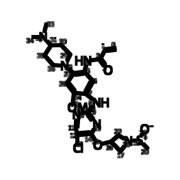 C=CC(=O)Nc1cc(Nc2ncc(Cl)c(OC3CN([S+](C)[O-])C3)n2)c(OC)cc1N1CCC(N(C)C)CC1